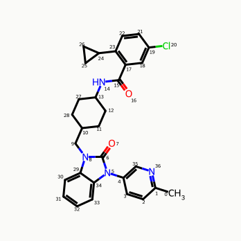 Cc1ccc(-n2c(=O)n(CC3CCC(NC(=O)c4cc(Cl)ccc4C4CC4)CC3)c3ccccc32)cn1